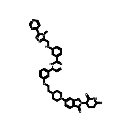 C=C[C@@H](NC(=O)c1cccc(NCc2nnc(-c3ccncn3)n2C)c1)c1cccc(OCCN2CCN(c3ccc4c(c3)CN(C3CCC(=O)NC3=O)C4=O)CC2)c1